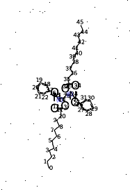 CCCCCCCCCCCC(=O)OC(=N/Oc1ccccc1)/C(=N\Oc1ccccc1)OC(=O)CCCCCCCCCCC